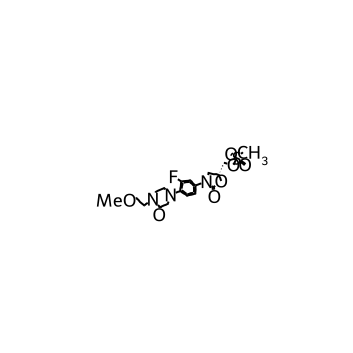 COCCN1CCN(c2ccc(N3C[C@H](COS(C)(=O)=O)OC3=O)cc2F)CC1=O